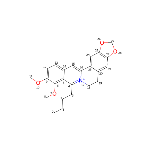 CCCCc1c2c(OC)c(OC)ccc2cc2[n+]1CCc1cc3c(cc1-2)OCO3